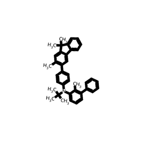 Cc1cc2c(cc1-c1ccc(N(c3cccc(-c4ccccc4)c3C)C(C)(C)C)cc1)-c1ccccc1C2(C)C